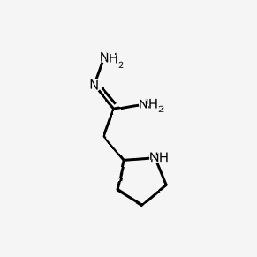 N/N=C(\N)CC1CCCN1